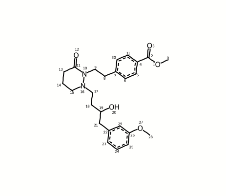 COC(=O)c1ccc(CCN2C(=O)CCCN2CCC(O)Cc2cccc(OC)c2)cc1